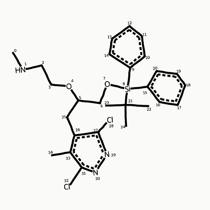 CNCCOC(CO[Si](c1ccccc1)(c1ccccc1)C(C)(C)C)Cc1c(Cl)nnc(Cl)c1C